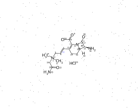 C[N+](C)(C/C=C/C1=C(C(=O)Cl)N2[C@H](CC1)[C@H](N)[S+]2[O-])CC(N)=O.Cl